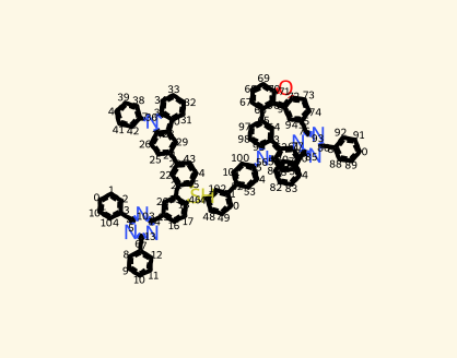 c1ccc(-c2nc(-c3ccccc3)nc(-c3ccc4c(c3)-c3cc(-c5ccc6c(c5)c5ccccc5n6-c5ccccc5)ccc3[SH]4c3cccc(-c4ccc(-n5c6ccccc6c6cc(-c7cccc8oc9ccc(-c%10nc(-c%11ccccc%11)nc(-c%11ccccc%11)n%10)cc9c78)ccc65)cc4)c3)n2)cc1